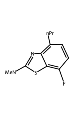 CCCc1ccc(F)c2sc(NC)nc12